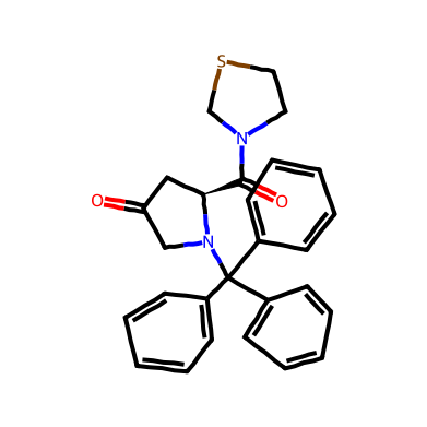 O=C1C[C@@H](C(=O)N2CCSC2)N(C(c2ccccc2)(c2ccccc2)c2ccccc2)C1